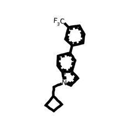 FC(F)(F)c1cccc(-c2ccc3c(ccn3CC3CCC3)c2)c1